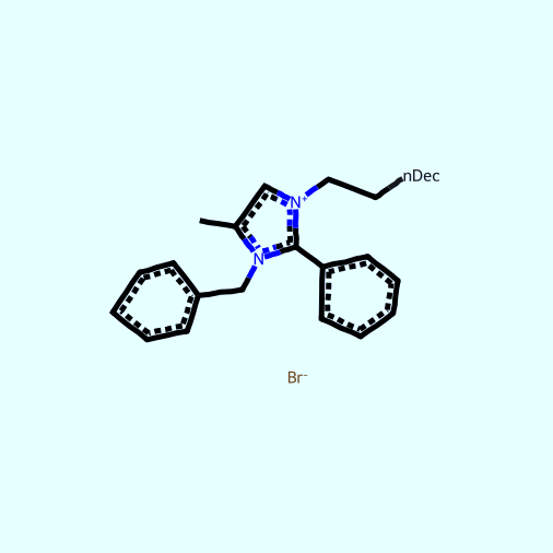 CCCCCCCCCCCC[n+]1cc(C)n(Cc2ccccc2)c1-c1ccccc1.[Br-]